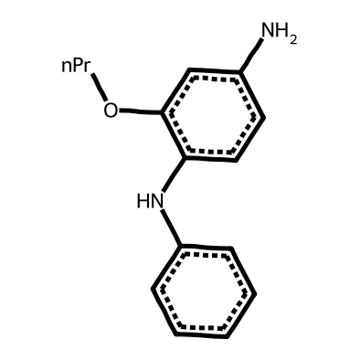 CCCOc1cc(N)ccc1Nc1ccccc1